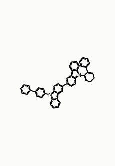 C1=C(c2ccccc2)C(n2c3ccccc3c3cc(-c4ccc5c(c4)c4ccccc4n5-c4ccc(-c5ccccc5)cc4)ccc32)=CCC1